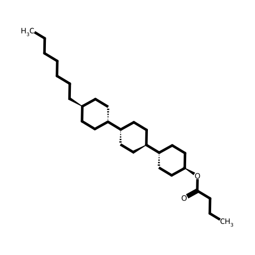 CCCCCCC[C@H]1CC[C@H]([C@H]2CC[C@H]([C@H]3CC[C@H](OC(=O)CCC)CC3)CC2)CC1